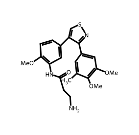 COc1ccc(-c2csnc2-c2cc(C)c(OC)c(OC)c2)cc1NC(=O)CCN